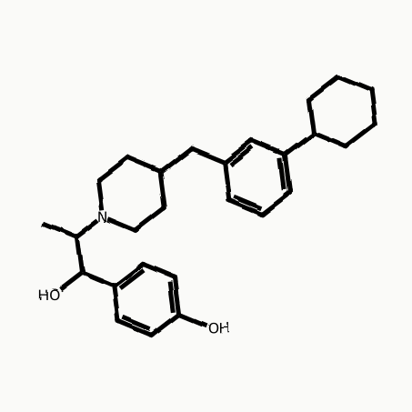 CC(C(O)c1ccc(O)cc1)N1CCC(Cc2cccc(C3CCCCC3)c2)CC1